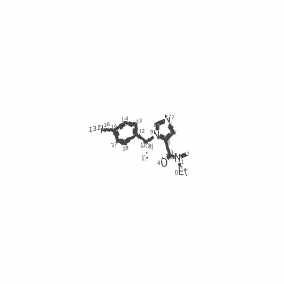 CCN(C)C(=O)c1cncn1[C@H](C)c1ccc([131I])cc1